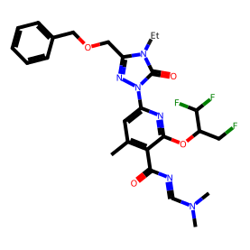 CCn1c(COCc2ccccc2)nn(-c2cc(C)c(C(=O)N=CN(C)C)c(OC(CF)C(F)F)n2)c1=O